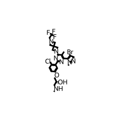 CNC[C@@H](O)COc1ccc(Cl)c(-c2nc(-c3c(Br)cnn3C)c(C)c(N3CC4(CN(CC(F)(F)F)C4)C3)n2)c1